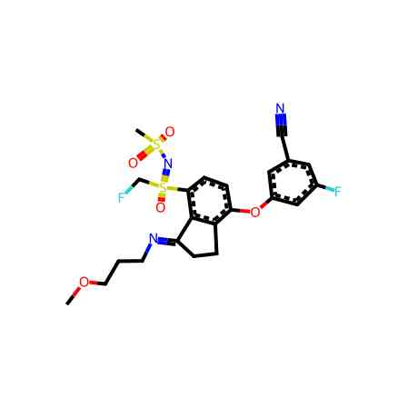 COCCC/N=C1\CCc2c(Oc3cc(F)cc(C#N)c3)ccc(S(=O)(CF)=NS(C)(=O)=O)c21